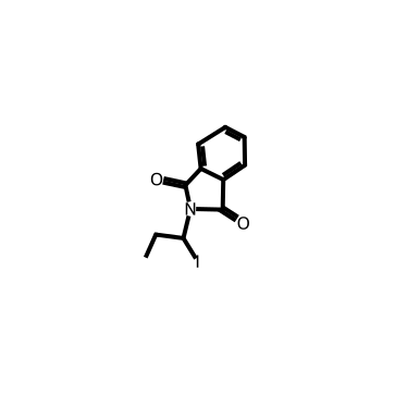 CCC(I)N1C(=O)c2ccccc2C1=O